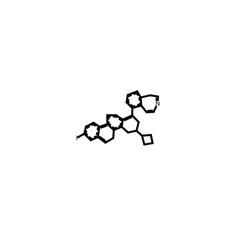 Ic1ccc2c(c1)=CCc1c3c(ccc1=2)=C(c1[c]ccc2c1C=CN=CC2)CC(C1CCC1)C3